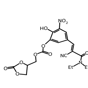 CCN(CC)C(=O)/C(C#N)=C/c1cc(OC(=O)OCC2COC(=O)O2)c(O)c([N+](=O)[O-])c1